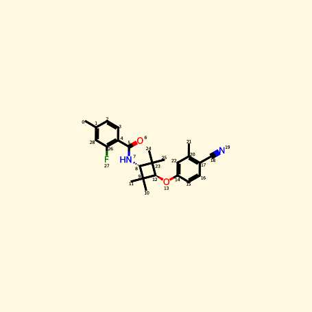 Cc1ccc(C(=O)N[C@H]2C(C)(C)[C@H](Oc3ccc(C#N)c(C)c3)C2(C)C)c(F)c1